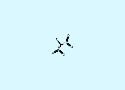 O=[SH](=O)[C](F)[SH](=O)=O